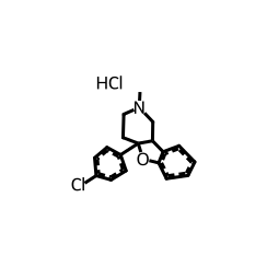 CN1CCC2(c3ccc(Cl)cc3)Oc3ccccc3C2C1.Cl